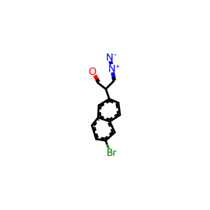 [N-]=[N+]=CC(C=O)c1ccc2cc(Br)ccc2c1